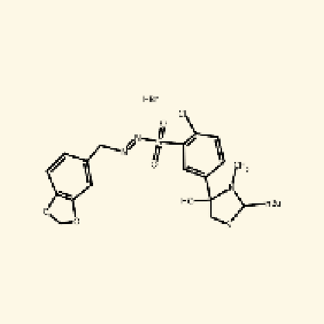 Br.CCCCC1SCC(O)(c2ccc(Cl)c(S(=O)(=O)N=NCc3ccc4c(c3)OCO4)c2)N1C